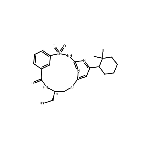 CC(C)C[C@@H]1COc2cc(C3CCCCC3(C)C)nc(n2)NS(=O)(=O)c2cccc(c2)C(=O)N1